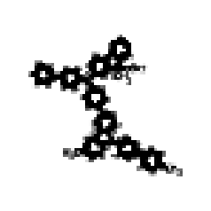 CCCCCCCCC1(C)c2ccccc2-c2ccc(N(c3ccc(-c4ccccc4)cc3)c3ccc(-c4ccc5c(c4)c4cc(C)ccc4n5-c4ccc(-c5ccc(C)cc5)cc4)cc3)cc21